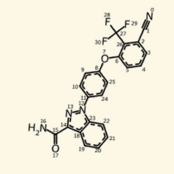 N#Cc1cccc(Oc2ccc(-n3nc(C(N)=O)c4ccccc43)cc2)c1C(F)(F)F